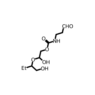 CCC(CO)OC(O)COC(=O)NCCC=O